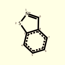 C1=[N+]Sc2ccccc21